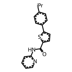 CC(C)c1ccc(-c2ccc(C(=O)Nc3ccccn3)s2)cc1